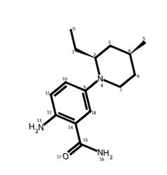 CC[C@H]1C[C@@H](C)CCN1c1ccc(N)c(C(N)=O)c1